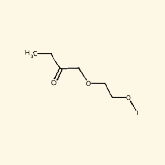 CCC(=O)COCCOI